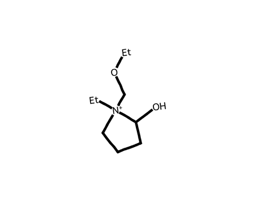 CCOC[N+]1(CC)CCCC1O